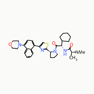 CN[C@@H](C)C(=O)N[C@H](C(=O)N1CCC[C@H]1c1nc(-c2ccc(N3CCOCC3)c3ccccc23)cs1)C1CCCCC1